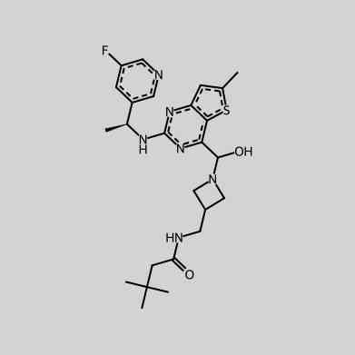 Cc1cc2nc(N[C@@H](C)c3cncc(F)c3)nc(C(O)N3CC(CNC(=O)CC(C)(C)C)C3)c2s1